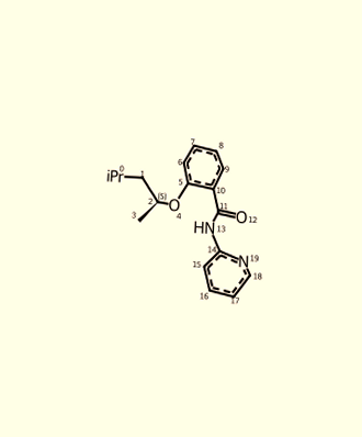 CC(C)C[C@H](C)Oc1ccccc1C(=O)Nc1ccccn1